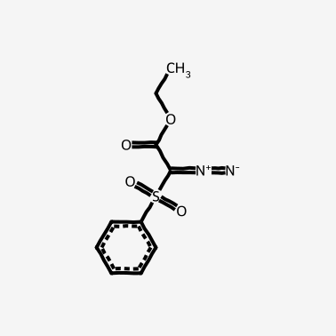 CCOC(=O)C(=[N+]=[N-])S(=O)(=O)c1ccccc1